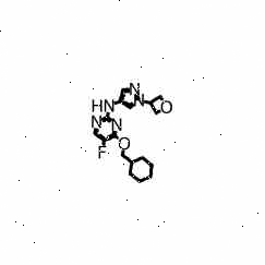 Fc1cnc(Nc2cnn(C3COC3)c2)nc1OCC1CCCCC1